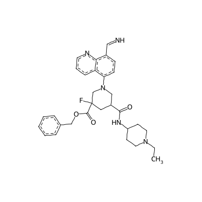 CCN1CCC(NC(=O)C2CN(c3ccc(C=N)c4ncccc34)CC(F)(C(=O)OCc3ccccc3)C2)CC1